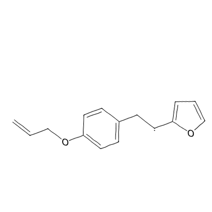 C=CCOc1ccc(C[CH]c2ccco2)cc1